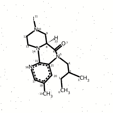 CCC(C)CN1C(=O)[C@@H]2CN(I)CCN2c2ncc(C)cc21